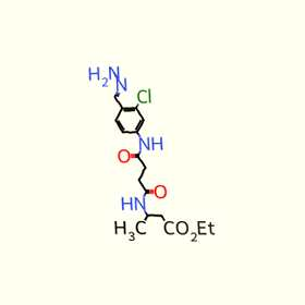 CCOC(=O)CC(C)NC(=O)CCC(=O)Nc1ccc(C=NN)c(Cl)c1